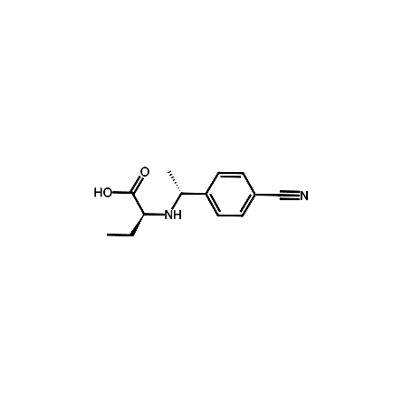 CC[C@H](N[C@H](C)c1ccc(C#N)cc1)C(=O)O